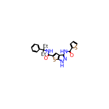 CCC(CC)(NC(=O)c1cc2c(NC(=O)c3cccs3)n[nH]c2s1)c1ccccc1